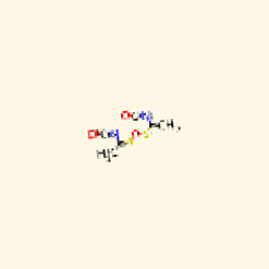 CC(N=C=O)SOSC(C)N=C=O